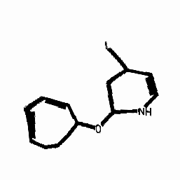 IC1C=CNC(OC2C=CC=CC2)C1